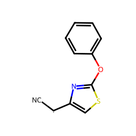 N#C[CH]c1csc(Oc2ccccc2)n1